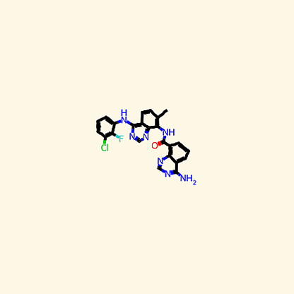 Cc1ccc2c(Nc3cccc(Cl)c3F)ncnc2c1NC(=O)c1cccc2c(N)ncnc12